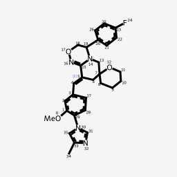 COc1cc(/C=C2\CC3(CCCCO3)CN3C2=NOCC3c2ccc(F)cc2)ccc1-n1cnc(C)c1